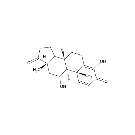 C[C@]12C=CC(=O)C(O)=C1CC[C@@H]1[C@@H]2[C@H](O)C[C@]2(C)C(=O)CC[C@@H]12